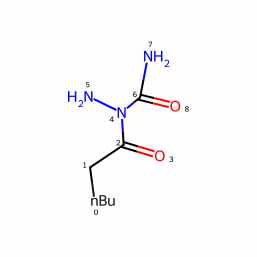 CCCCCC(=O)N(N)C(N)=O